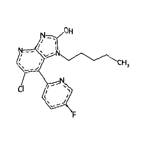 CCCCCn1c(O)nc2ncc(Cl)c(-c3ccc(F)cn3)c21